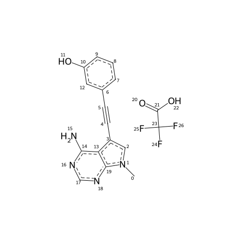 Cn1cc(C#Cc2cccc(O)c2)c2c(N)ncnc21.O=C(O)C(F)(F)F